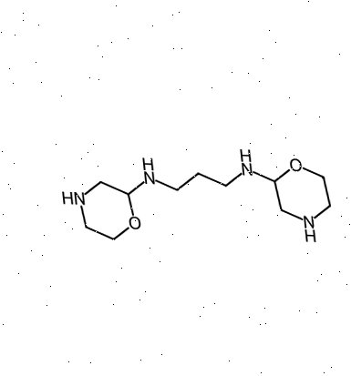 C(CNC1CNCCO1)CNC1CNCCO1